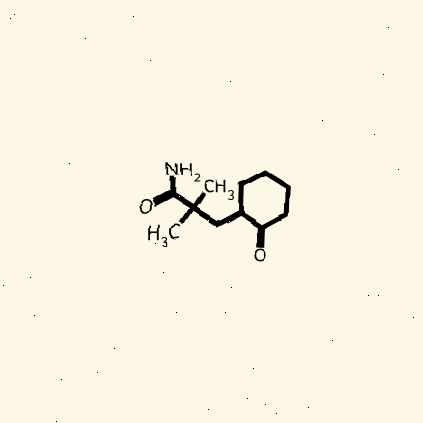 CC(C)(CC1CCCCC1=O)C(N)=O